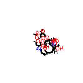 C#CCCN(C)[C@H]1C[C@@H](C)O[C@@H](O[C@@H]2[C@@H](C)[C@H](OC3C[C@@](C)(OC)[C@@H](OC(C)=O)[C@H](C)O3)[C@@H](C)C(=O)O[C@H](CC)[C@@](C)(O)[C@@H]3CCC(=C)CO[C@]2(C)C[C@@H](C)/C(=N\OC(C)=O)[C@@H]3C)[C@@H]1O